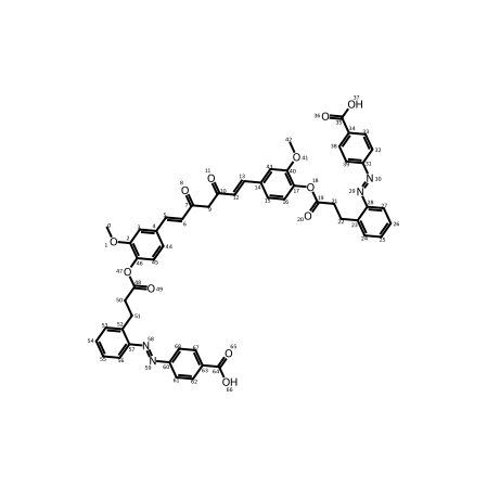 COc1cc(/C=C/C(=O)CC(=O)/C=C/c2ccc(OC(=O)CCc3ccccc3/N=N/c3ccc(C(=O)O)cc3)c(OC)c2)ccc1OC(=O)CCc1ccccc1/N=N/c1ccc(C(=O)O)cc1